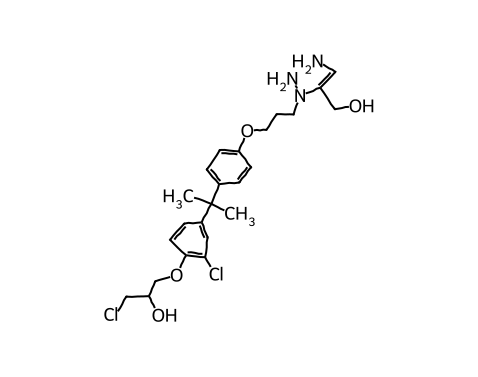 CC(C)(c1ccc(OCCCN(N)/C(=C\N)CO)cc1)c1ccc(OCC(O)CCl)c(Cl)c1